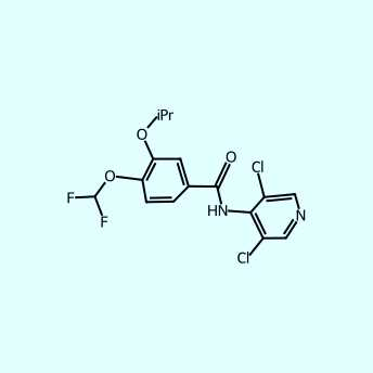 CC(C)Oc1cc(C(=O)Nc2c(Cl)cncc2Cl)ccc1OC(F)F